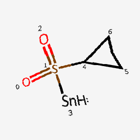 O=[S](=O)([SnH])C1CC1